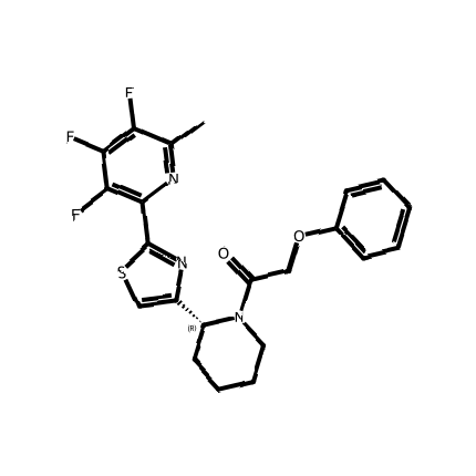 Cc1nc(-c2nc([C@H]3CCCCN3C(=O)COc3ccccc3)cs2)c(F)c(F)c1F